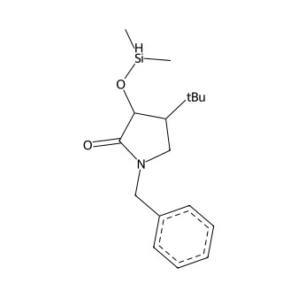 C[SiH](C)OC1C(=O)N(Cc2ccccc2)CC1C(C)(C)C